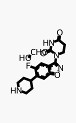 O=C1CCN(c2noc3cc(C4CCNCC4)c(F)cc23)C(=O)N1.O=CO